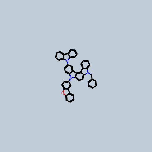 c1ccc(Cn2c3ccccc3c3c4c5cc(-n6c7ccccc7c7ccccc76)ccc5n(-c5ccc6oc7ccccc7c6c5)c4ccc32)cc1